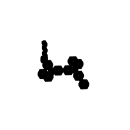 C=CCCCCOc1ccc(N(c2ccc(-c3ccc(N(c4ccc(-c5ccccc5)cc4)c4cccc5ccccc45)cc3)cc2)c2cccc3ccccc23)cc1